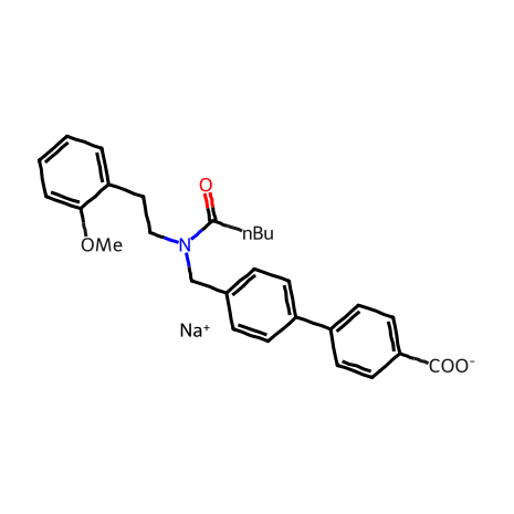 CCCCC(=O)N(CCc1ccccc1OC)Cc1ccc(-c2ccc(C(=O)[O-])cc2)cc1.[Na+]